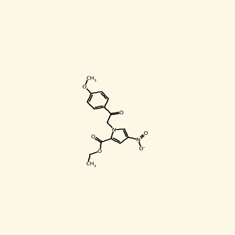 CCOC(=O)c1cc([N+](=O)[O-])cn1CC(=O)c1ccc(OC)cc1